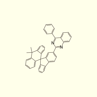 CC1(C)c2ccccc2C2(c3ccccc3-c3ccc(-c4nc(-c5ccccc5)c5ccccc5n4)cc32)c2ccccc21